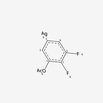 CC(=O)Oc1cccc(F)c1F.[Ag]